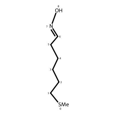 CSCCCCCC=NO